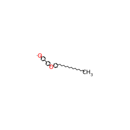 CCCCCCCCCCCCCCc1ccc(Oc2ccc(-c3ccc([O])cc3)cc2)cc1